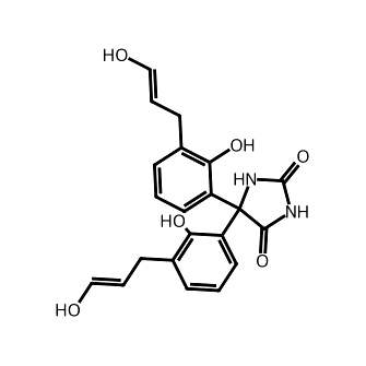 O=C1NC(=O)C(c2cccc(CC=CO)c2O)(c2cccc(CC=CO)c2O)N1